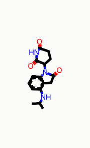 CC(C)Nc1cccc2c1CC(=O)N2C1CCC(=O)NC1=O